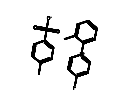 Cc1ccc(S(=O)(=O)[O-])cc1.Cc1ccccc1-[n+]1ccc(F)cc1